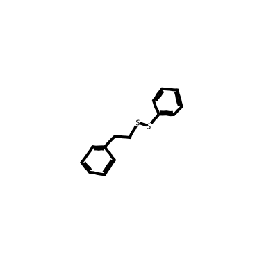 c1ccc(CCSSc2ccccc2)cc1